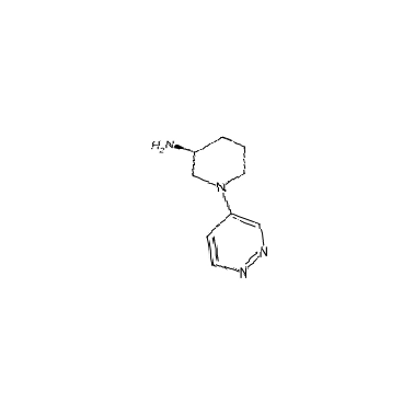 N[C@H]1CCCN(c2ccnnc2)C1